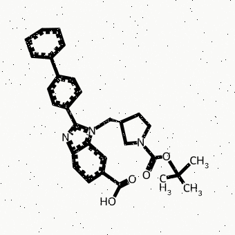 CC(C)(C)OC(=O)N1CC[C@H](Cn2c(-c3ccc(-c4ccccc4)cc3)nc3ccc(C(=O)O)cc32)C1